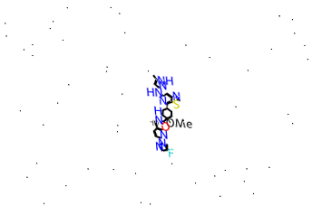 CO[C@]1(C(=O)N[C@@H](C)c2ccc(-n3cc(F)cn3)nc2)CC[C@H](c2nc(Nc3cc(C)[nH]n3)cc3ncsc32)CC1